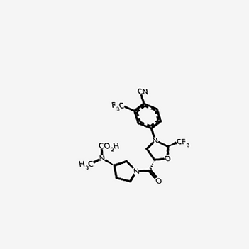 CN(C(=O)O)[C@@H]1CCN(C(=O)[C@@H]2CN(c3ccc(C#N)c(C(F)(F)F)c3)[C@@H](C(F)(F)F)O2)C1